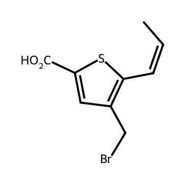 C/C=C\c1sc(C(=O)O)cc1CBr